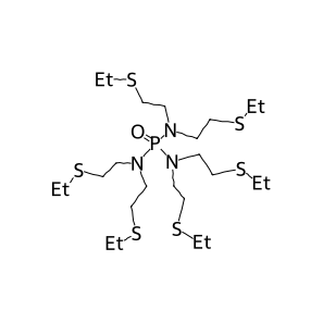 CCSCCN(CCSCC)P(=O)(N(CCSCC)CCSCC)N(CCSCC)CCSCC